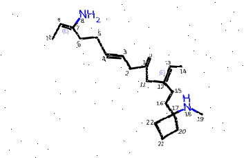 C=C(CC=CCC/C(N)=C\C)C/C(=C/C)CCC1(NC)CCC1